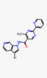 CCc1cn(NC(=O)c2cnc(-c3ccccn3)nc2C)c2cnccc12